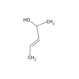 [CH2]C=CC([CH2])O